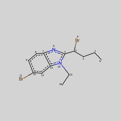 CCCC(Br)c1nc2ccc(Br)cc2n1CC